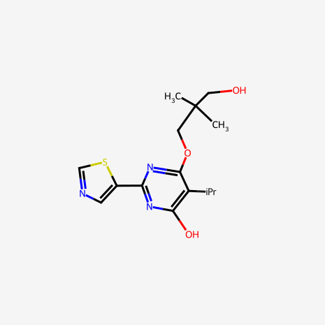 CC(C)c1c(O)nc(-c2cncs2)nc1OCC(C)(C)CO